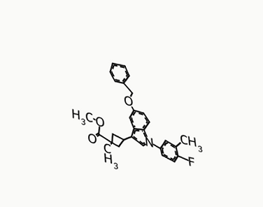 COC(=O)C1(C)CC(c2cn(-c3ccc(F)c(C)c3)c3ccc(OCc4ccccc4)cc23)C1